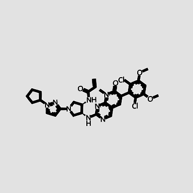 C=CC(=O)N[C@H]1CN(c2ccn(C3CCCC3)n2)C[C@H]1Nc1ncc2cc(-c3c(Cl)c(OC)cc(OC)c3Cl)c(=O)n(C)c2n1